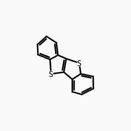 c1ccc2c(c1)sc1c3ccccc3sc21